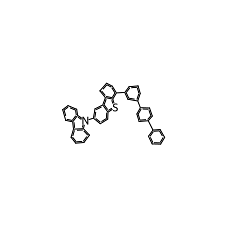 c1ccc(-c2ccc(-c3cccc(-c4cccc5c4sc4ccc(-n6c7ccccc7c7ccccc76)cc45)c3)cc2)cc1